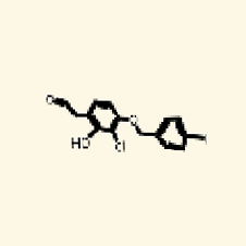 O=CCc1ccc(OCc2ccc(I)cc2)c(Cl)c1O